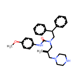 C=C(CN1CCNCC1)CN(CC(c1ccccc1)c1ccccc1)C(=O)Nc1ccc(OC)cc1